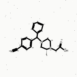 C[C@@H]1CN(C(c2ccccc2)c2ccc(C#N)cc2)CCN1CC(=O)O